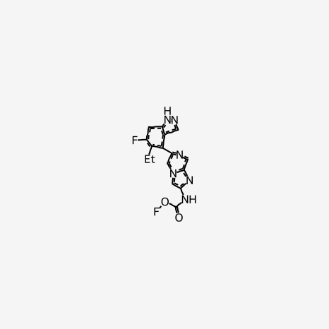 CCc1c(F)cc2[nH]ncc2c1-c1cn2cc(NC(=O)OF)nc2cn1